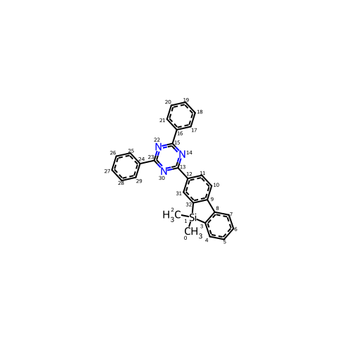 C[Si]1(C)c2ccccc2-c2ccc(-c3nc(-c4ccccc4)nc(-c4ccccc4)n3)cc21